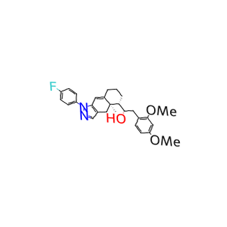 COc1ccc(C[C@H](O)[C@H]2CCCC3=Cc4c(cnn4-c4ccc(F)cc4)C[C@@]32C)c(OC)c1